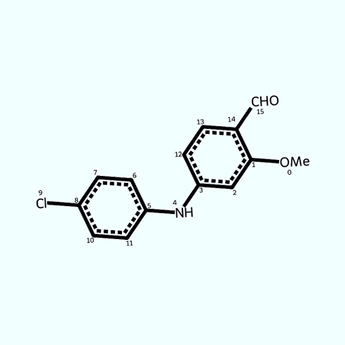 COc1cc(Nc2ccc(Cl)cc2)ccc1C=O